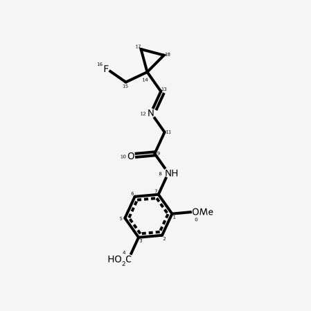 COc1cc(C(=O)O)ccc1NC(=O)CN=CC1(CF)CC1